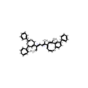 C=C/C(=C\C=C(/C)c1cccsc2ccc(-c3ccccc3)cc2c(C)c1)C1=CC(C2=CC=CCC=C2)=NC(c2ccccc2)=NC1